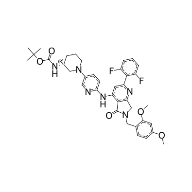 COc1ccc(CN2Cc3nc(-c4c(F)cccc4F)cc(Nc4ccc(N5CCC[C@@H](NC(=O)OC(C)(C)C)C5)cn4)c3C2=O)c(OC)c1